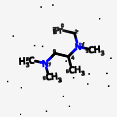 CC(C)CN(C)C(C)CN(C)C